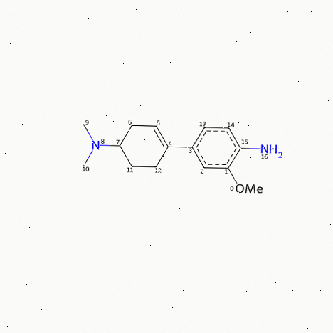 COc1cc(C2=CCC(N(C)C)CC2)ccc1N